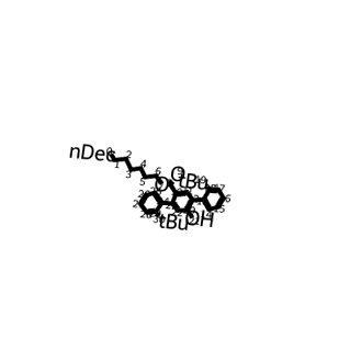 CCCCCCCCCCCCCCCCOC(=O)c1cc(-c2ccccc2C(C)(C)C)c(O)cc1-c1ccccc1C(C)(C)C